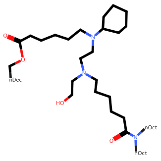 CCCCCCCCCCCOC(=O)CCCCCN(CCN(CCO)CCCCCC(=O)N(CCCCCCCC)CCCCCCCC)C1CCCCC1